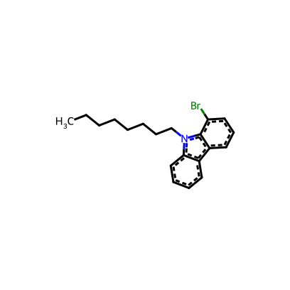 CCCCCCCCn1c2ccccc2c2cccc(Br)c21